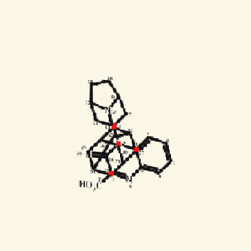 O=C(O)c1nc2ccccc2n(C2CC3CCC(C2)N3C2C3CC4CC(C3)CC2C4)c1=O